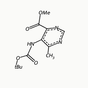 COC(=O)c1ncnc(C)c1NC(=O)OC(C)(C)C